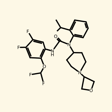 CC(C)c1ccccc1N(C(=O)Nc1cc(F)c(F)cc1OC(F)F)C1CCN(C2COC2)CC1